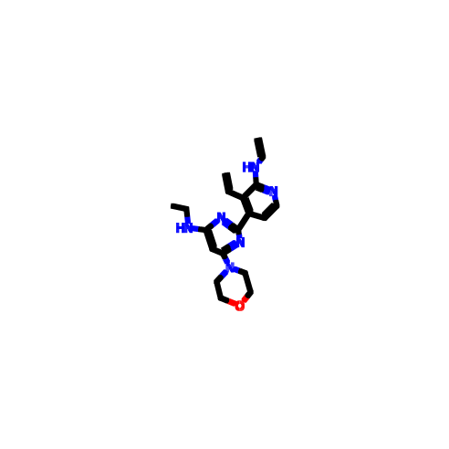 C=CNc1nccc(-c2nc(NCC)cc(N3CCOCC3)n2)c1C=C